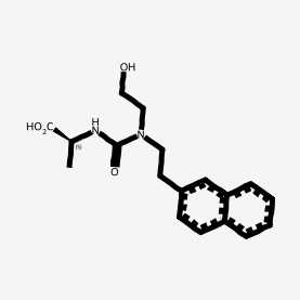 C[C@H](NC(=O)N(CCO)CCc1ccc2ccccc2c1)C(=O)O